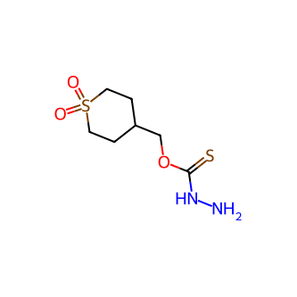 NNC(=S)OCC1CCS(=O)(=O)CC1